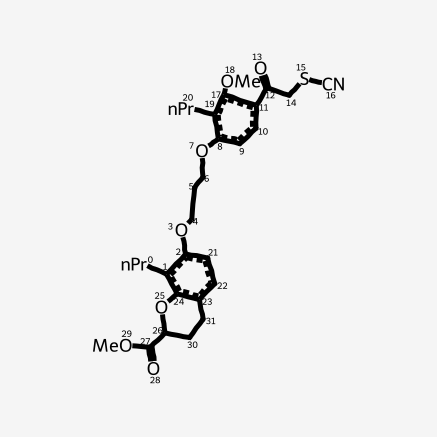 CCCc1c(OCCCOc2ccc(C(=O)CSC#N)c(OC)c2CCC)ccc2c1OC(C(=O)OC)CC2